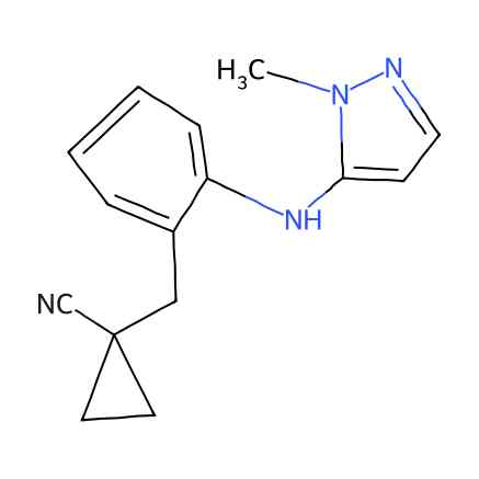 Cn1nccc1Nc1ccccc1CC1(C#N)CC1